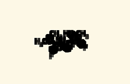 C[C@@H]1C[C@H]([C@H](c2ccc(F)cc2)[C@H](N)C(=O)Nc2cccc(F)c2CC[C@H]2CNC[C@H](C)N2S(=O)(=O)c2ccc(F)cc2)C[C@H](C)O1